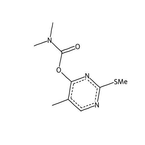 CSc1ncc(C)c(OC(=O)N(C)C)n1